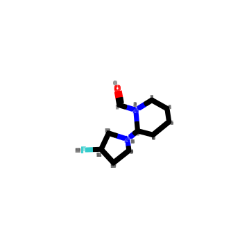 O=CN1CCCCC1N1CCC(F)C1